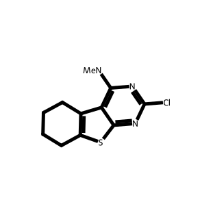 CNc1nc(Cl)nc2sc3c(c12)CCCC3